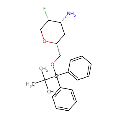 CC(C)(C)[Si](OC[C@H]1C[C@@H](N)[C@@H](F)CO1)(c1ccccc1)c1ccccc1